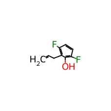 C=CCc1c(F)ccc(F)c1O